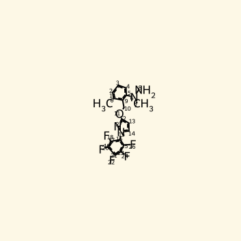 Cc1cccc(N(C)N)c1COc1ccn(-c2c(F)c(F)c(F)c(F)c2F)n1